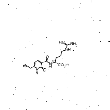 CC(C)(C)Cc1ccc(C(=O)N[C@@H](CCCNC(=N)N)C(=O)O)c(=O)[nH]1